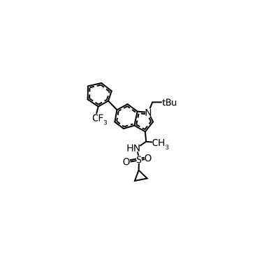 CC(NS(=O)(=O)C1CC1)c1cn(CC(C)(C)C)c2cc(-c3ccccc3C(F)(F)F)ccc12